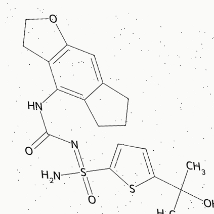 CC(C)(O)c1ccc(S(N)(=O)=NC(=O)Nc2c3c(cc4c2CCO4)CCC3)s1